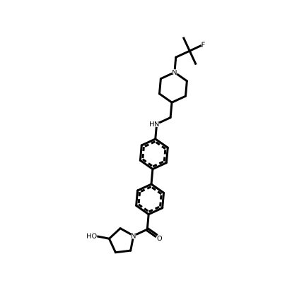 CC(C)(F)CN1CCC(CNc2ccc(-c3ccc(C(=O)N4CCC(O)C4)cc3)cc2)CC1